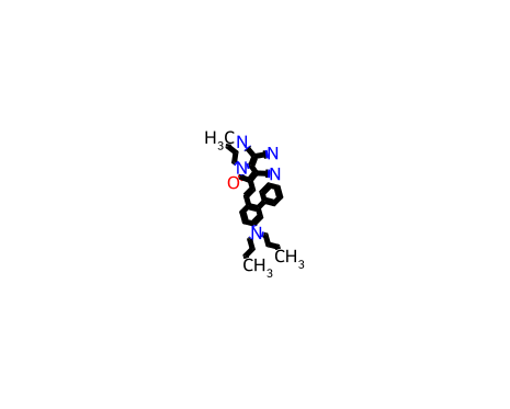 CCCCN1C(=O)C(/C=C/c2ccc(N(CCCC)CCCC)cc2-c2ccccc2)=C(C#N)C1=C(C#N)C#N